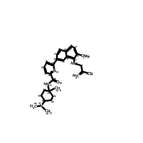 C=C(C#N)CNc1c(OC)ccc2ccc(-c3cccc(C(=O)NC4(C)CCC(N(C)C)CC4)n3)cc12